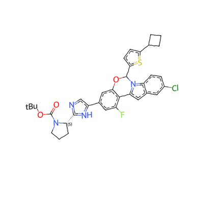 CC(C)(C)OC(=O)N1CCC[C@H]1c1ncc(-c2cc(F)c3c(c2)OC(c2ccc(C4CCC4)s2)n2c-3cc3cc(Cl)ccc32)[nH]1